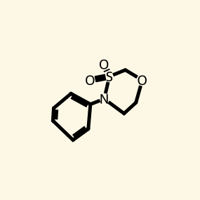 O=S1(=O)COCCN1c1ccccc1